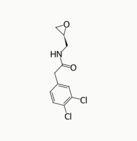 O=C(Cc1ccc(Cl)c(Cl)c1)NC[C@H]1CO1